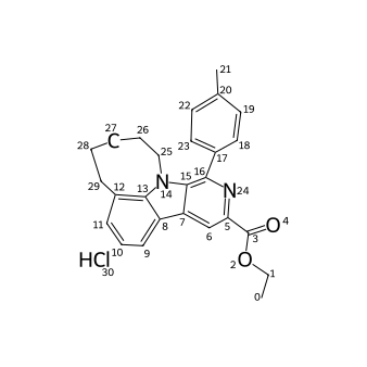 CCOC(=O)c1cc2c3cccc4c3n(c2c(-c2ccc(C)cc2)n1)CCCCC4.Cl